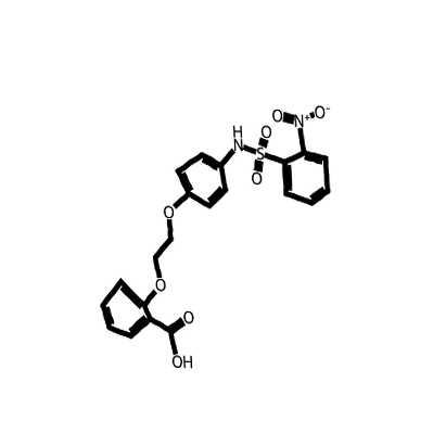 O=C(O)c1ccccc1OCCOc1ccc(NS(=O)(=O)c2ccccc2[N+](=O)[O-])cc1